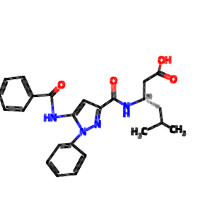 CC(C)C[C@@H](CC(=O)O)NC(=O)c1cc(NC(=O)c2ccccc2)n(-c2ccccc2)n1